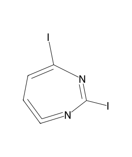 IC1=CC=C=NC(I)=N1